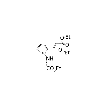 CCOC(=O)CNc1ccccc1C=CP(=O)(OCC)OCC